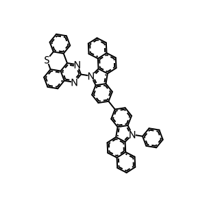 c1ccc(-n2c3ccc(-c4ccc5c(c4)c4ccc6ccccc6c4n5-c4nc5c6c(cccc6n4)Sc4ccccc4-5)cc3c3ccc4ccccc4c32)cc1